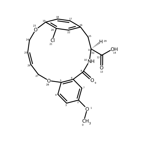 COc1ccc2c(c1)C(=O)N[C@H](C(=O)O)Cc1ccc(c(Cl)c1)OCC=CCO2